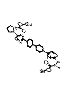 CC(C)(C)OC(=O)N1CCC[C@H]1c1nc(-c2ccc(-c3ccc(-c4csc([C@@H]5CCCN5C(=O)OC(C)(C)C)n4)cc3)cc2)no1